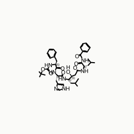 CC(C)C[C@H](NC(=O)C[C@H](O)[C@H](CC(C)C)NC(=O)[C@H](Cc1c[nH]cn1)NC(=O)[C@H](Cc1ccccc1)NC(=O)OC(C)(C)C)C(=O)NC(=O)c1ccccc1